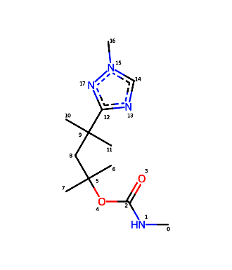 CNC(=O)OC(C)(C)CC(C)(C)c1ncn(C)n1